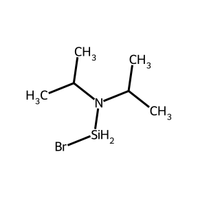 CC(C)N([SiH2]Br)C(C)C